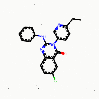 CCc1ccc(-n2c(Nc3ccccc3)nc3ccc(Cl)cc3c2=O)cn1